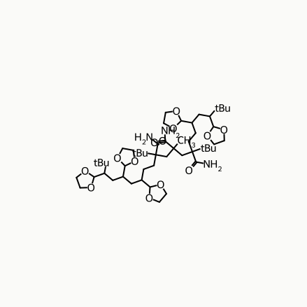 CC(CC(CCC(CC(CC(C1OCCO1)C(C)(C)C)C1OCCO1)C1OCCO1)(C(N)=O)C(C)(C)C)(CC(CCC(CC(C1OCCO1)C(C)(C)C)C1OCCO1)(C(N)=O)C(C)(C)C)C(N)=O